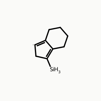 [SiH3]C1=C2CCCCC2=[C]C1